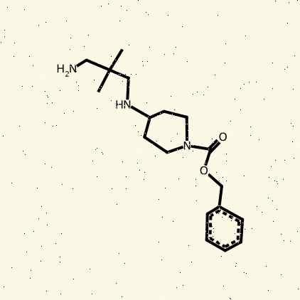 CC(C)(CN)CNC1CCN(C(=O)OCc2ccccc2)CC1